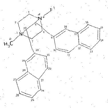 C[N+]12CC[N+](F)(CC1)C(c1ccc3ccccc3c1)C2c1ccc2ccccc2c1